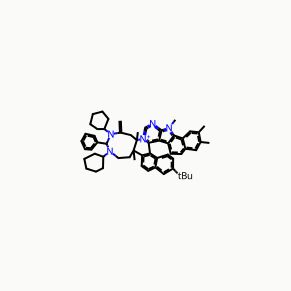 C=C1CC2(C)[n+]3cnc4c(c3-c3c(ccc5cc(C(C)(C)C)ccc35)C2(C)CCN(C2CCCCC2)C(c2ccccc2)N1C1CCCCC1)c1ccc2cc(C)c(C)cc2c1n4C